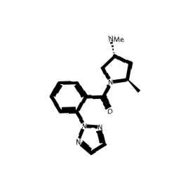 CN[C@@H]1C[C@@H](C)N(C(=O)c2ccccc2-n2nccn2)C1